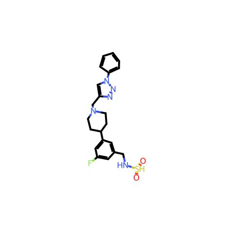 O=[SH](=O)NCc1cc(F)cc(C2CCN(Cc3cn(-c4ccccc4)nn3)CC2)c1